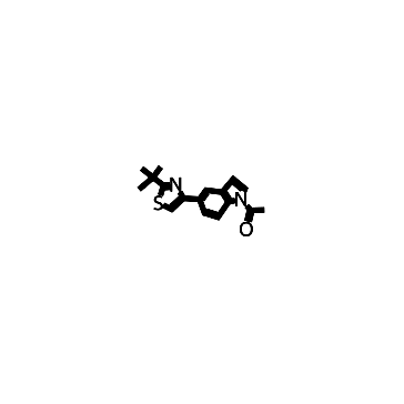 CC(=O)n1ccc2cc(-c3csc(C(C)(C)C)n3)ccc21